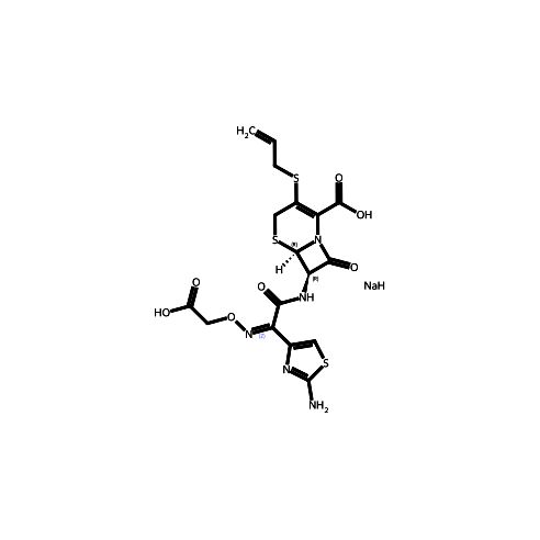 C=CCSC1=C(C(=O)O)N2C(=O)[C@@H](NC(=O)/C(=N\OCC(=O)O)c3csc(N)n3)[C@H]2SC1.[NaH]